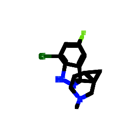 CN1CCC2CC2(c2n[nH]c3c(Cl)cc(F)cc23)C1